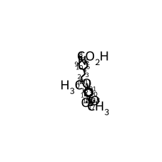 C[C@H](CCC1CCN(C(=O)O)CC1)Oc1ccc(S(C)(=O)=O)cc1